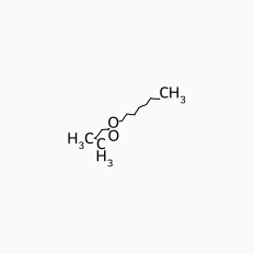 CCCCCCCCOC(=O)CC(C)C